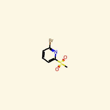 CS(=O)(=O)c1cccc(Br)n1